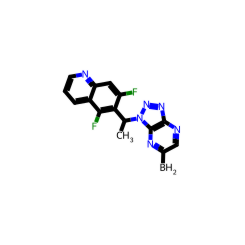 Bc1cnc2nnn(C(C)c3c(F)cc4ncccc4c3F)c2n1